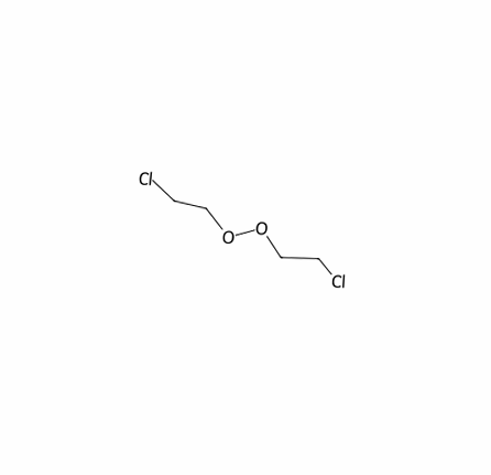 ClCCOOCCCl